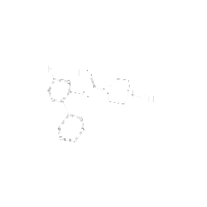 CN1CCN(C(=N)Nc2cc(F)ccc2-c2ccccc2)CC1